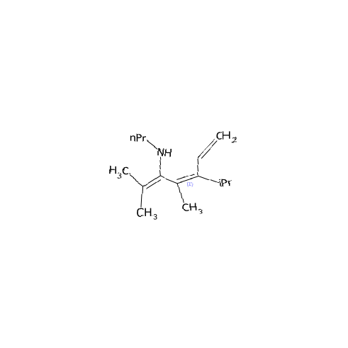 C=C/C(=C(/C)C(NCCC)=C(C)C)C(C)C